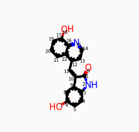 O=C1Nc2ccc(O)cc2C1=Cc1ccnc2c(O)cccc12